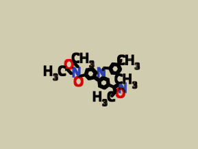 Cc1cccc(Cn2c3ccc(C(=O)N4C[C@@H](C)O[C@@H](C)C4)cc3c3ccc(-c4c(C)noc4C)cc32)c1